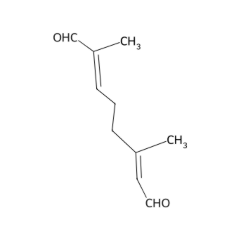 C/C(C=O)=C\CC/C(C)=C/C=O